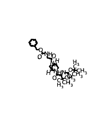 CC(C)(C)OC(=O)N[C@H](C(=O)N1C[C@@H]2C[C@H]1CN2C(=O)CNC(=O)OCc1ccccc1)C(C)(C)C